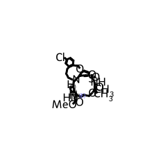 COC(=O)N[C@H]1/C=C/COC(C)(C)C(=O)NS(=O)(=O)c2ccc3c(c2)N(CCCCc2cc(Cl)ccc2CO3)C[C@@H]2CC[C@H]21